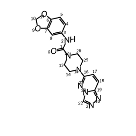 O=C(Nc1ccc2c(c1)OCO2)N1CCN(c2ccc3nncn3n2)CC1